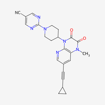 Cn1c(=O)c(=O)n(C2CCN(c3ncc(C#N)cn3)CC2)c2ncc(C#CC3CC3)cc21